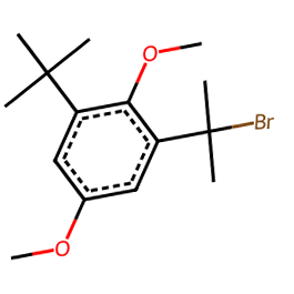 COc1cc(C(C)(C)C)c(OC)c(C(C)(C)Br)c1